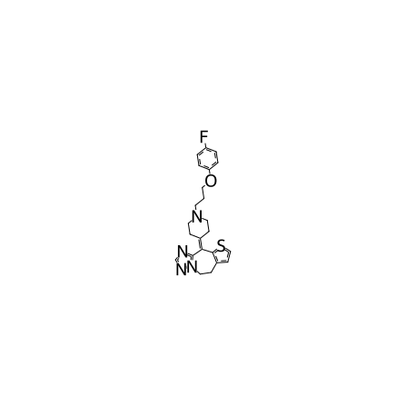 Fc1ccc(OCCCN2CCC(=C3c4sccc4CCn4ncnc43)CC2)cc1